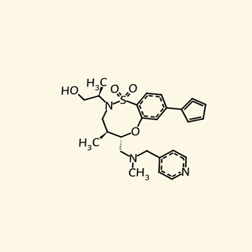 C[C@H](CO)N1C[C@H](C)[C@@H](CN(C)Cc2ccncc2)Oc2cc(C3=C=CC=C3)ccc2S1(=O)=O